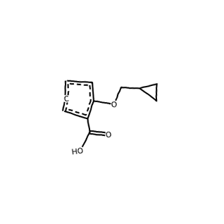 O=C(O)c1ccccc1OCC1CC1